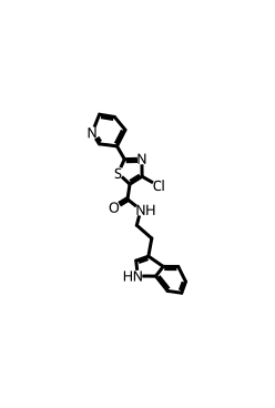 O=C(NCCc1c[nH]c2ccccc12)c1sc(-c2cccnc2)nc1Cl